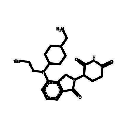 CC(C)(C)CCN(c1cccc2c1CN(C1CCC(=O)NC1=O)C2=O)C1CCC(CN)CC1